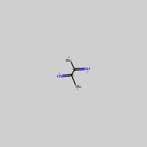 CC(C)(C)C(=N)C(=N)C(C)(C)C